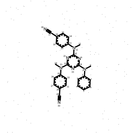 CN(c1ccccc1)c1nc(N(C)c2ccc(C#N)cc2)nc(N(C)c2ccc(C#N)cc2)n1